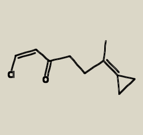 CC(CCC(=O)/C=C\Cl)=C1CC1